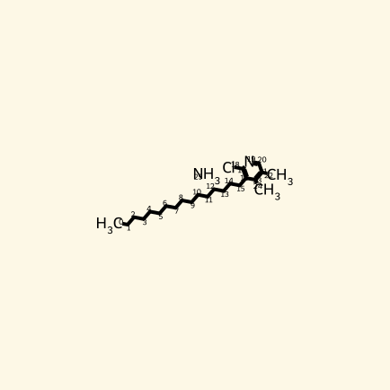 CCCCCCCCCCCCCCCCc1c(Cl)ncc(C)c1C.N